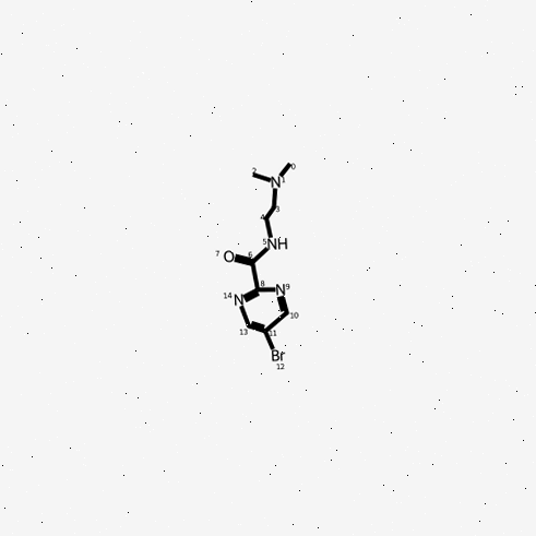 CN(C)CCNC(=O)c1ncc(Br)cn1